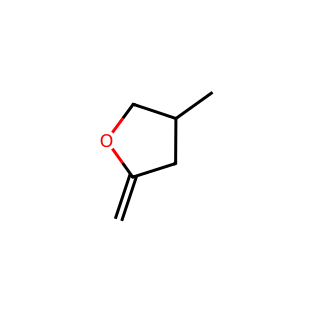 C=C1CC(C)CO1